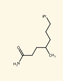 CC(C)CCCC(C)CCC(N)=O